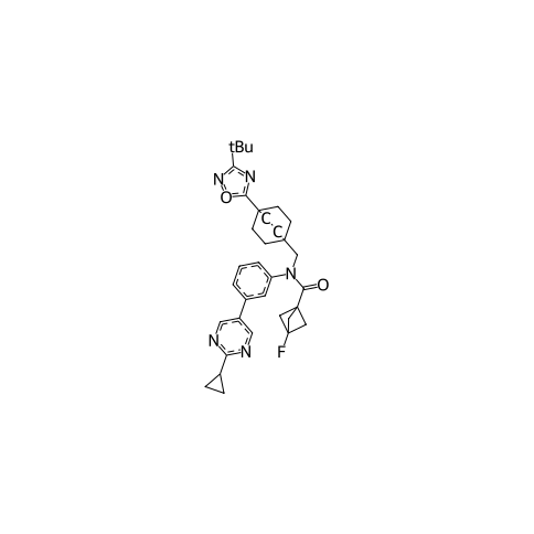 CC(C)(C)c1noc(C23CCC(CN(C(=O)C45CC(F)(C4)C5)c4cccc(-c5cnc(C6CC6)nc5)c4)(CC2)CC3)n1